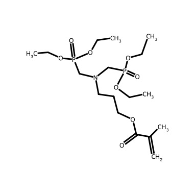 C=C(C)C(=O)OCCCN(CP(=O)(OCC)OCC)CP(=O)(OCC)OCC